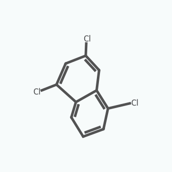 Clc1cc(Cl)c2cccc(Cl)c2c1